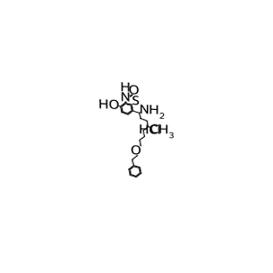 CC(CCCCOCCc1ccccc1)CCC(N)c1ccc(O)c2[nH]c(=O)sc12.Cl